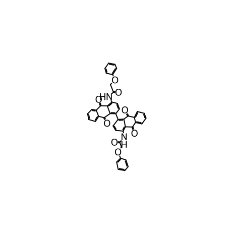 O=C(COc1ccccc1)Nc1ccc(-c2ccc(NC(=O)COc3ccccc3)c3c2C(=O)c2ccccc2C3=O)c2c1C(=O)c1ccccc1C2=O